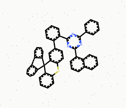 c1ccc(-c2nc(-c3ccccc3-c3ccc4c(c3)C3(c5ccccc5S4)c4ccccc4-c4ccccc43)nc(-c3cccc4ccccc34)n2)cc1